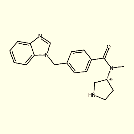 CN(C(=O)c1ccc(Cn2cnc3ccccc32)cc1)[C@@H]1CCNC1